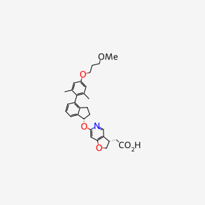 COCCCOc1cc(C)c(-c2cccc3c2CC[C@@H]3Oc2cc3c(cn2)[C@H](CC(=O)O)CO3)c(C)c1